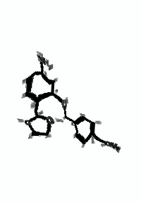 COc1ccc(COc2cc(N)ccc2C2OCCO2)cc1